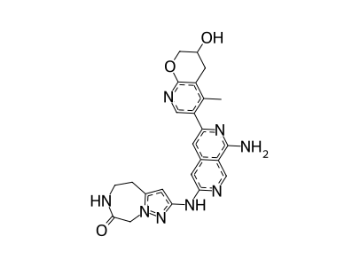 Cc1c(-c2cc3cc(Nc4cc5n(n4)CC(=O)NCC5)ncc3c(N)n2)cnc2c1CC(O)CO2